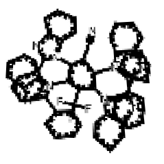 N#Cc1c(-n2c(-c3ccccc3)nc3ccccc32)c(-n2c(-c3ccccc3)nc3ccccc32)c(C(F)(F)F)c(-n2c(-c3ccccc3)nc3ccccc32)c1-n1c(-c2ccccc2)nc2ccccc21